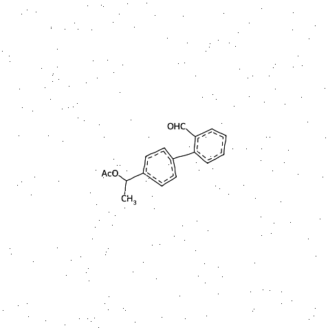 CC(=O)OC(C)c1ccc(-c2ccccc2C=O)cc1